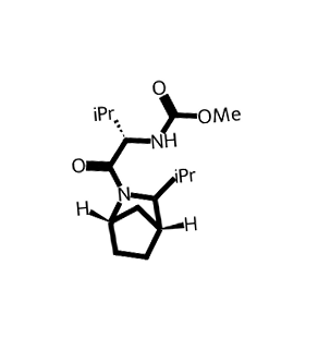 COC(=O)N[C@H](C(=O)N1C(C(C)C)[C@@H]2CC[C@H]1C2)C(C)C